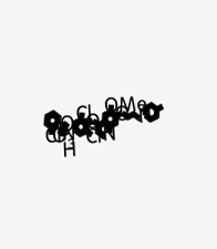 COc1cc2c(Oc3c(Cl)cc(NS(=O)(=O)c4ccccc4C(F)(F)F)cc3Cl)ccnc2cc1OCCCN1CCC(C)CC1